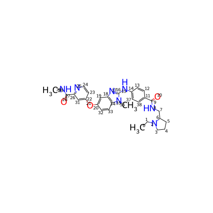 CCN1CCCC1CNC(=O)c1ccc(Nc2nc3cc(Oc4ccnc(C(=O)NC)c4)ccc3n2C)cc1